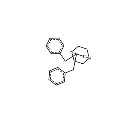 c1ccc(CC2(Cc3ccccc3)CN3CCN2CC3)cc1